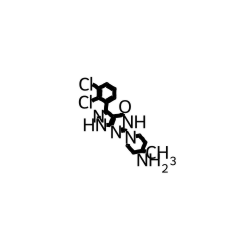 CC1(N)CCN(c2nc3[nH]nc(-c4cccc(Cl)c4Cl)c3c(=O)[nH]2)CC1